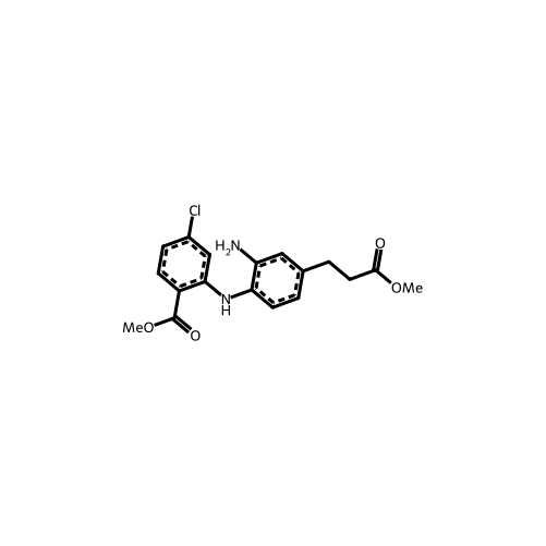 COC(=O)CCc1ccc(Nc2cc(Cl)ccc2C(=O)OC)c(N)c1